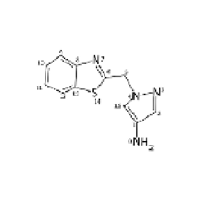 Nc1cnn(Cc2nc3ccccc3s2)c1